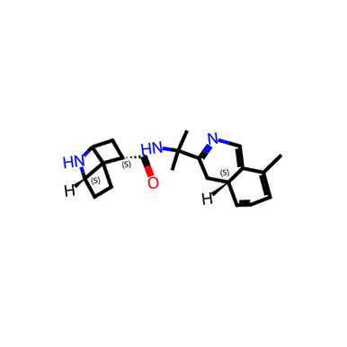 CC1=CC=C[C@@H]2CC(C(C)(C)NC(=O)[C@H]3CC4N[C@H]5CCC453)=NC=C12